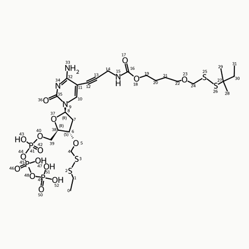 CCSSCO[C@H]1C[C@H](n2cc(C#CCNC(=O)OCCCCOCSSC(C)(C)CC)c(N)nc2=O)O[C@@H]1COP(=O)(O)OP(=O)(O)OP(=O)(O)O